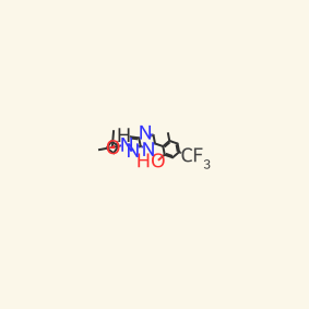 Cc1cc(C(F)(F)F)cc(O)c1-c1cnc2cn(C34CC(C)(C3)O[C@@H]4C)nc2n1